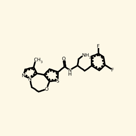 Cc1cnn2c1-c1cc(C(=O)NC(CN)Cc3cc(F)cc(F)c3)sc1OCC2